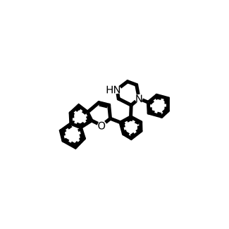 C1=CC(c2ccccc2C2CNCCN2c2ccccc2)Oc2c1ccc1ccccc21